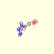 O=C(NCc1ccc(C[SH](=O)=O)cc1)C(c1ccnc(-n2ccnc2)n1)N1CCCCC1